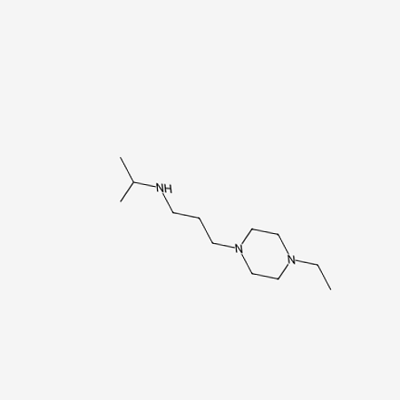 CCN1CCN(CCCNC(C)C)CC1